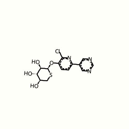 O[C@@H]1[C@@H](O)[C@@H](Oc2ccc(-c3cncnc3)nc2Cl)SC[C@H]1O